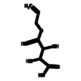 C=CCOC(=N)C(O)C(O)C(=O)O